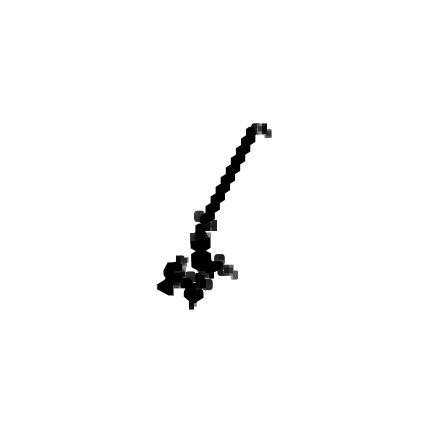 CCCCCCCCCCCCCCCCCCCC(=O)NCc1ncc(-c2ccc3c(c2)c(C(C)=O)nn3CC(=O)N2C[C@H](F)C[C@H]2C(=O)Nc2nc(Br)ccc2C2CC2)cn1